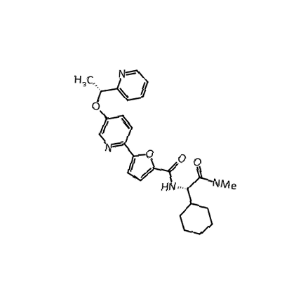 CNC(=O)[C@@H](NC(=O)c1ccc(-c2ccc(O[C@H](C)c3ccccn3)cn2)o1)C1CCCCC1